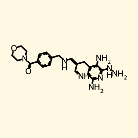 N=C/C(=C\NCc1ccc(C(=O)N2CCOCC2)cc1)Cc1cc(N)nc(NN)c1N